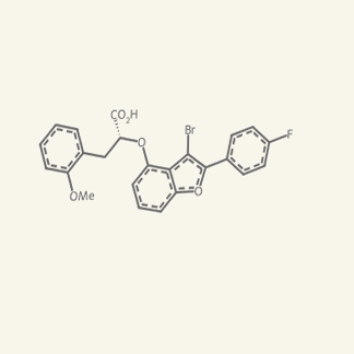 COc1ccccc1C[C@@H](Oc1cccc2oc(-c3ccc(F)cc3)c(Br)c12)C(=O)O